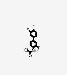 O=C(Cl)Nc1ccc(-c2ccc(F)c(F)c2)cc1F